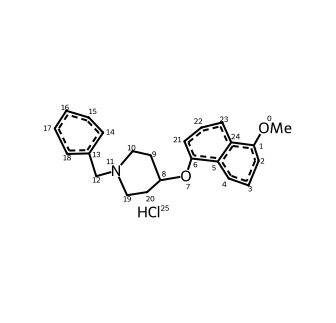 COc1cccc2c(OC3CCN(Cc4ccccc4)CC3)cccc12.Cl